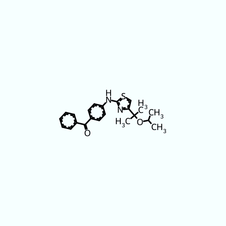 CC(C)OC(C)(C)c1csc(Nc2ccc(C(=O)c3ccccc3)cc2)n1